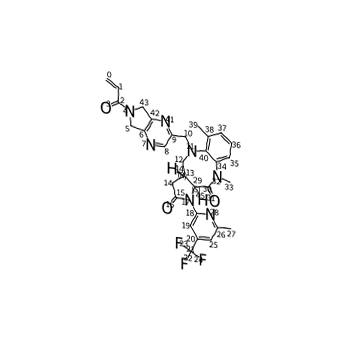 C=CC(=O)N1Cc2ncc(CN3C[C@H]4CC(=O)N(c5cc(C(F)(F)F)cc(C)n5)[C@@H]4C(=O)N(C)c4cccc(C)c43)nc2C1